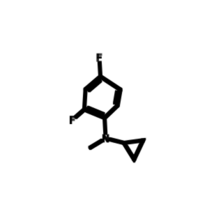 CN(c1ccc(F)cc1F)C1CC1